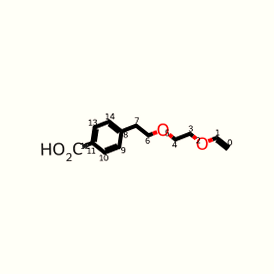 C=COCCOCCc1ccc(C(=O)O)cc1